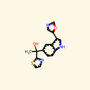 CC(O)(c1ccc2[nH]cc(-c3cnco3)c2c1)c1nccs1